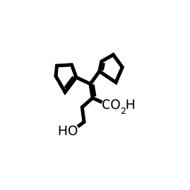 O=C(O)C(CCO)=C(C1=CCCC1)C1=CCCC1